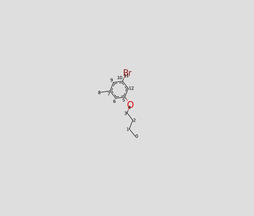 CCCCOc1cc(C)cc(Br)c1